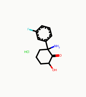 Cl.NC1(c2cccc(F)c2)CCCC(O)C1=O